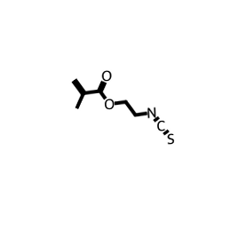 C=C(C)C(=O)OCCN=C=S